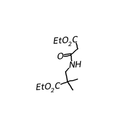 CCOC(=O)CC(=O)NCC(C)(C)C(=O)OCC